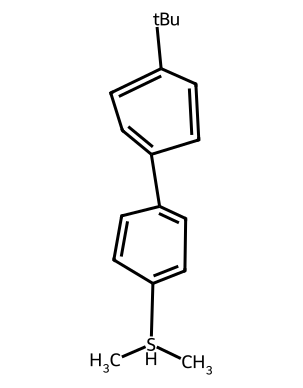 C[SH](C)c1ccc(-c2ccc(C(C)(C)C)cc2)cc1